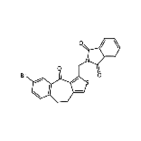 O=C1c2cc(Br)ccc2CCc2csc(CN3C(=O)c4ccccc4C3=O)c21